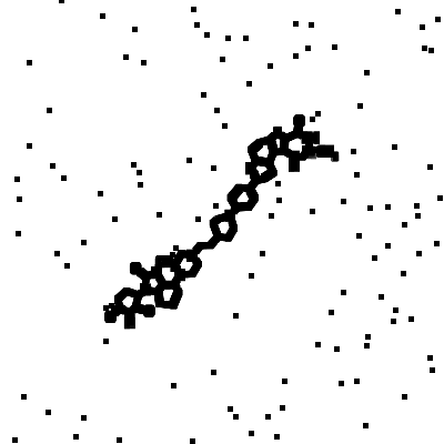 C[C@@H]1CNc2c(sc3ccc4nc(-c5ccc(N6CCC(CCN7CCN(c8cccc9c8n(C)c(=O)n9C8CCC(=O)NC8=O)CC7)CC6)cc5)ccc4c23)C(=O)N1